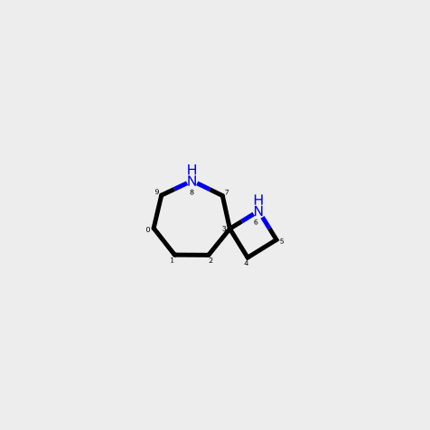 C1CCC2(CCN2)CNC1